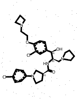 O=C(N[C@H](CN1CCCC1)[C@H](O)c1ccc(OCCN2CCC2)c(Cl)c1)[C@H]1CCN(c2ccc(Cl)cc2)C1